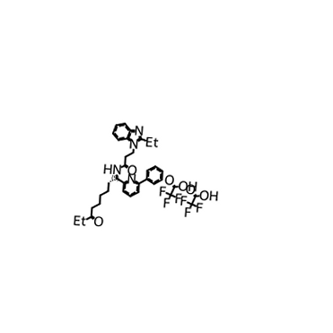 CCC(=O)CCCCC[C@H](NC(=O)CCn1c(CC)nc2ccccc21)c1cccc(-c2ccccc2)n1.O=C(O)C(F)(F)F.O=C(O)C(F)(F)F